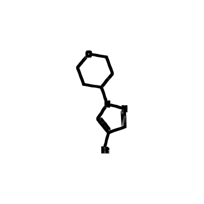 CCc1cnn(C2CCOCC2)c1